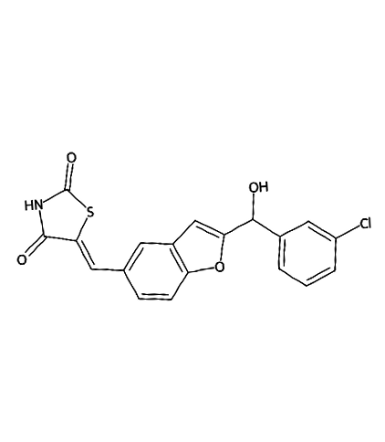 O=C1NC(=O)C(=Cc2ccc3oc(C(O)c4cccc(Cl)c4)cc3c2)S1